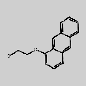 ClCCOc1cccc2cc3ccccc3cc12